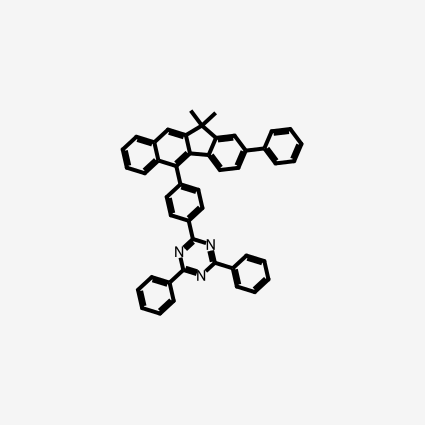 CC1(C)c2cc(-c3ccccc3)ccc2-c2c1cc1ccccc1c2-c1ccc(-c2nc(-c3ccccc3)nc(-c3ccccc3)n2)cc1